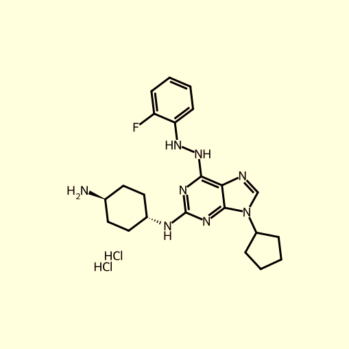 Cl.Cl.N[C@H]1CC[C@H](Nc2nc(NNc3ccccc3F)c3ncn(C4CCCC4)c3n2)CC1